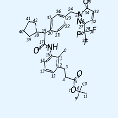 Cc1c(CCC(=O)OC(C)(C)C)cccc1NC(=O)C(c1ccc(Cn2nc(C(F)(F)F)ccc2=O)cc1)C1CCCC1